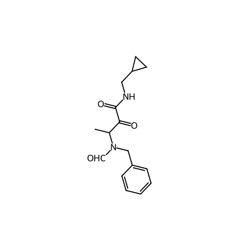 CC(C(=O)C(=O)NCC1CC1)N(C=O)Cc1ccccc1